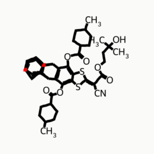 CC1CCC(C(=O)Oc2c3c(c(OC(=O)C4CCC(C)CC4)c4c2C2c5ccccc5C4c4ccccc42)SC(=C(C#N)C(=O)OCCC(C)(C)O)S3)CC1